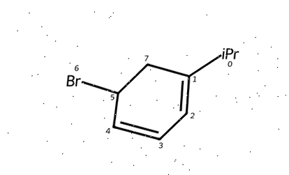 CC(C)C1=CC=CC(Br)C1